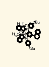 CC(C)(C)c1ccc(N2C3=C(B4C5=C(N(c6ccc(C(C)(C)C)cc6)c6cc(C7CCCc8ccccc87)cc2c64)C(C)(C)c2ccccc25)C(C)(C)c2ccccc23)cc1